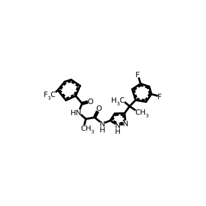 CC(NC(=O)c1cccc(C(F)(F)F)c1)C(=O)Nc1cc(C(C)(C)c2cc(F)cc(F)c2)n[nH]1